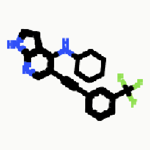 FC(F)(F)c1cccc(C#Cc2cnc3[nH]ccc3c2NC2CCCCC2)c1